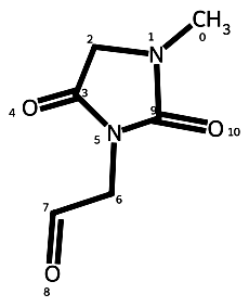 CN1CC(=O)N(CC=O)C1=O